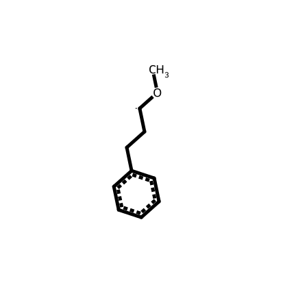 CO[CH]CCc1ccccc1